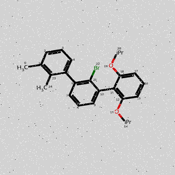 Cc1cccc(-c2cccc(-c3c(OC(C)C)cccc3OC(C)C)c2Br)c1C